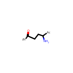 CC(=O)C(N)CCC(=O)C(C)C